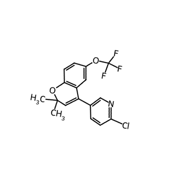 CC1(C)C=C(c2ccc(Cl)nc2)c2cc(OC(F)(F)F)ccc2O1